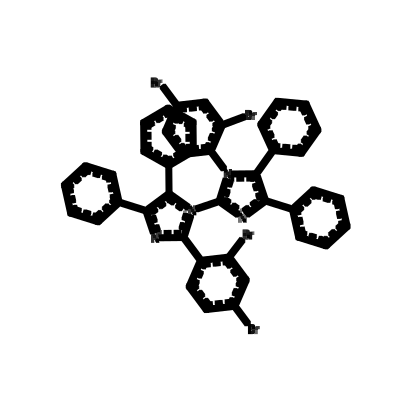 Brc1ccc(-c2nc(-c3ccccc3)c(-c3ccccc3)n2-c2nc(-c3ccccc3)c(-c3ccccc3)n2-c2ccc(Br)cc2Br)c(Br)c1